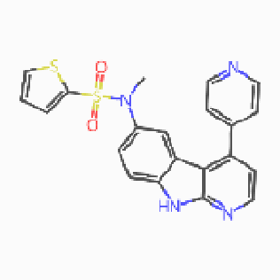 CN(c1ccc2[nH]c3nccc(-c4ccncc4)c3c2c1)S(=O)(=O)c1cccs1